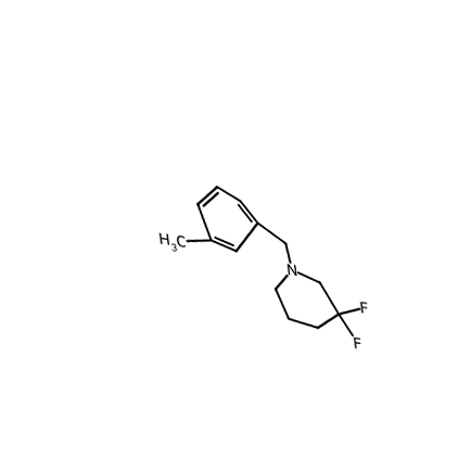 Cc1cccc(CN2CCCC(F)(F)C2)c1